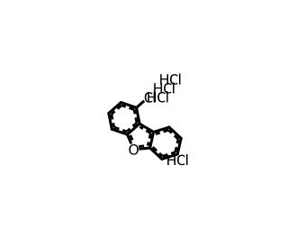 Cl.Cl.Cl.Cl.Clc1cccc2oc3ccccc3c12